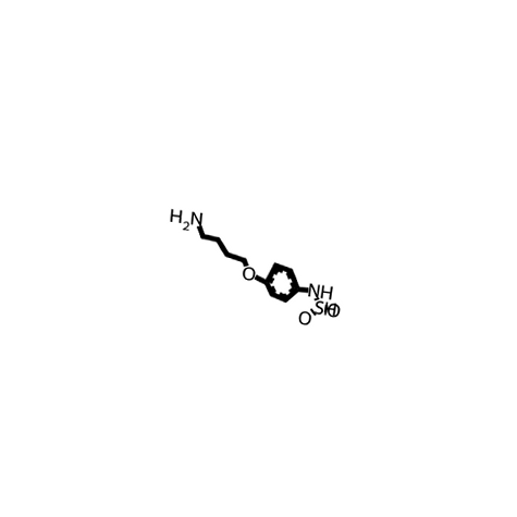 NCCCCOc1ccc(N[SH](=O)=O)cc1